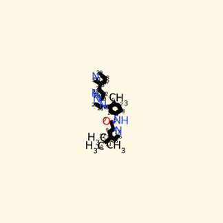 Cc1ccc(NC(=O)c2cc(C(C)(C)C)ccn2)cc1-n1ccn2nc(-c3cccnc3)cc12